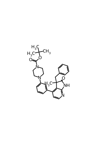 CC(C)(C)OC(=O)N1CCN(c2cccc(-c3ccnc4c3C(C)(Cc3ccccc3)C(=O)N4)c2)CC1